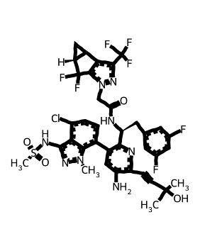 Cn1nc(NS(C)(=O)=O)c2c(Cl)ccc(-c3cc(N)c(C#CC(C)(C)O)nc3[C@H](Cc3cc(F)cc(F)c3)NC(=O)Cn3nc(C(F)(F)F)c4c3C(F)(F)[C@@H]3CC43)c21